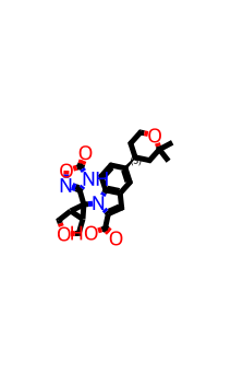 CC1(C)C[C@@H](c2ccc3c(c2)cc(C(=O)O)n3C2(c3noc(=O)[nH]3)C3COCC32)CCO1